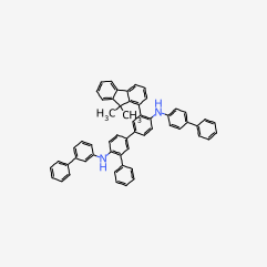 CC1(C)c2ccccc2-c2cccc(-c3cc(-c4ccc(Nc5cccc(-c6ccccc6)c5)c(-c5ccccc5)c4)ccc3Nc3ccc(-c4ccccc4)cc3)c21